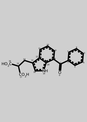 O=C(c1ccccc1)c1cccc2c(CC(C(=O)O)C(=O)O)c[nH]c12